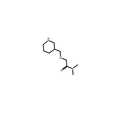 CN(C)C(=O)COCC1CCCNC1